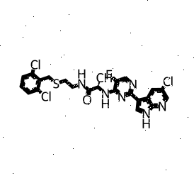 C[C@H](Nc1nc(-c2c[nH]c3ncc(Cl)cc23)ncc1F)C(=O)NCCSCc1c(Cl)cccc1Cl